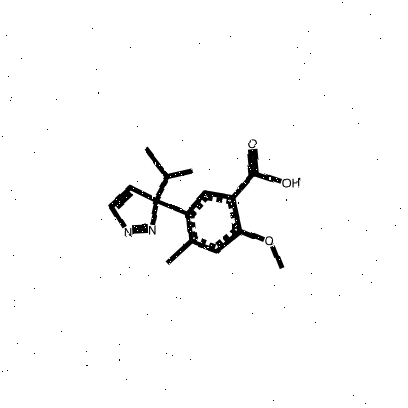 COc1cc(C)c(C2(C(C)C)C=CN=N2)cc1C(=O)O